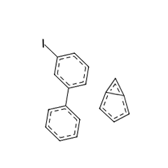 Ic1cccc(-c2ccccc2)c1.c1cc2cc-2c1